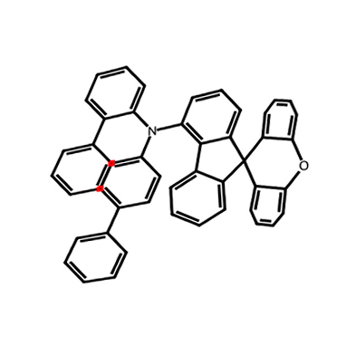 c1ccc(-c2ccc(N(c3ccccc3-c3ccccc3)c3cccc4c3-c3ccccc3C43c4ccccc4Oc4ccccc43)cc2)cc1